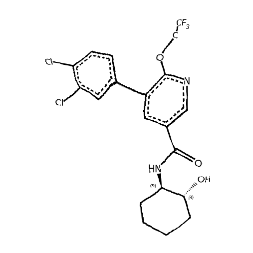 O=C(N[C@@H]1CCCC[C@H]1O)c1cnc(OCC(F)(F)F)c(-c2ccc(Cl)c(Cl)c2)c1